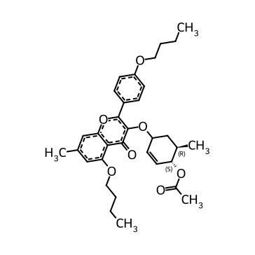 CCCCOc1ccc(-c2oc3cc(C)cc(OCCCC)c3c(=O)c2OC2C=C[C@@H](OC(C)=O)[C@H](C)C2)cc1